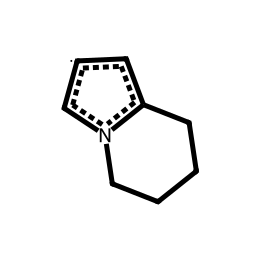 [c]1cc2n(c1)CCCC2